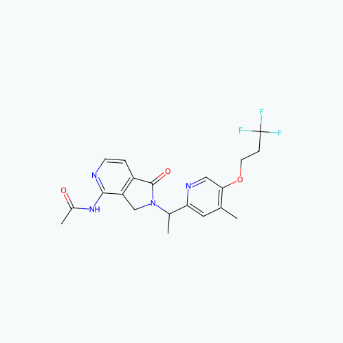 CC(=O)Nc1nccc2c1CN(C(C)c1cc(C)c(OCCC(F)(F)F)cn1)C2=O